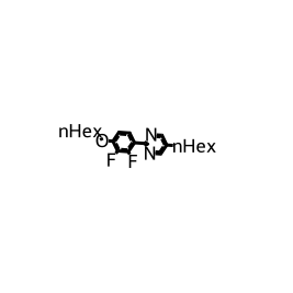 CCCCCCOc1ccc(-c2ncc(CCCCCC)cn2)c(F)c1F